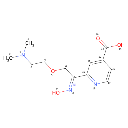 CN(C)CCOC/C(=N\O)c1cc(C(=O)O)ccn1